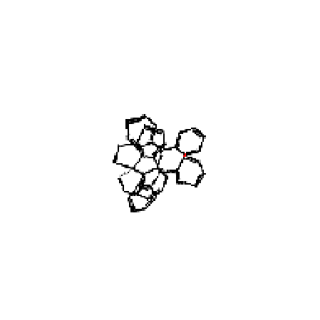 C1=CC2=C(C(P(c3ccccc3)c3ccccc3)C1)[C@@]1(CC2)CCc2cccc(P(c3ccccc3)c3ccccc3)c21